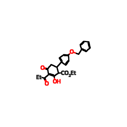 CCOC(=O)C1C(O)=C(C(=O)CC)C(=O)CC1c1ccc(OCc2ccccc2)cc1